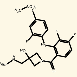 CC(=O)O.CCCC(C)NCC1(O)CN(C(=O)c2ccc(F)c(F)c2Nc2ccc(I)cc2F)C1